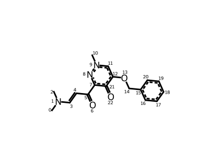 CN(C)C=CC(=O)c1nn(C)cc(OCc2ccccc2)c1=O